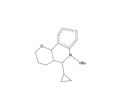 CCCCN1c2ccccc2C2OCCCC2C1C1CC1